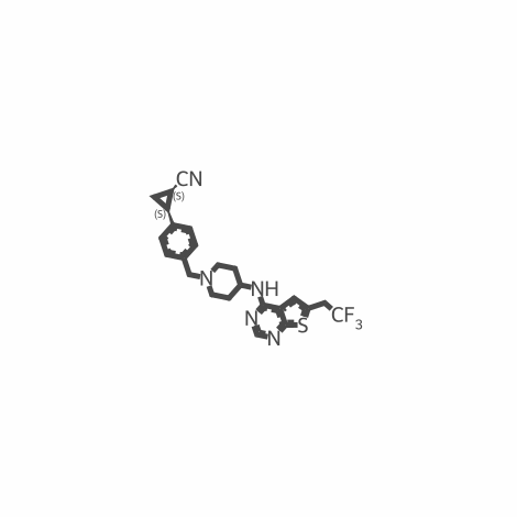 N#C[C@H]1C[C@@H]1c1ccc(CN2CCC(Nc3ncnc4sc(CC(F)(F)F)cc34)CC2)cc1